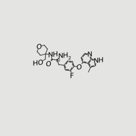 Cc1c[nH]c2nccc(Oc3ccc(C[C@H](N)C(=O)NC4(CO)CCOCC4)cc3F)c12